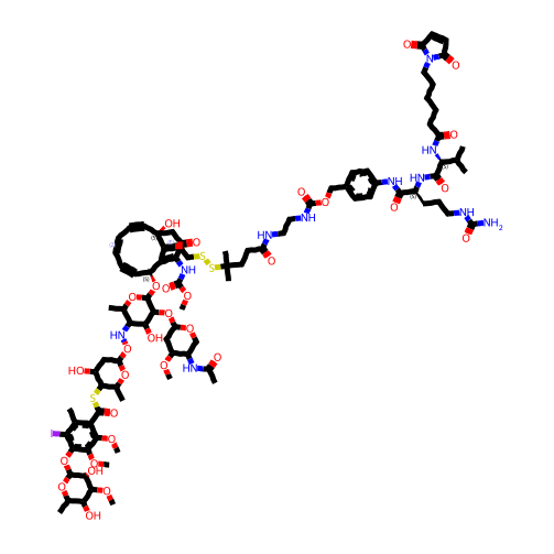 COC(=O)NC1=C2/C(=C\CSSC(C)(C)CCC(=O)NCCNC(=O)OCc3ccc(NC(=O)[C@H](CCCNC(N)=O)NC(=O)[C@@H](NC(=O)CCCCCN4C(=O)C=CC4=O)C(C)C)cc3)[C@](O)(C#C/C=C\C#C[C@@H]2OC2OC(C)C(NOC3CC(O)C(SC(=O)c4c(C)c(I)c(OC5OC(C)C(O)C(OC)C5O)c(OC)c4OC)C(C)O3)C(O)C2OC2CC(OC)C(NC(C)=O)CO2)CC1=O